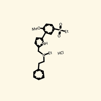 CCN(CCc1ccccc1)Cc1ccc(-c2cc(S(=O)(=O)CC)ccc2OC)[nH]1.Cl